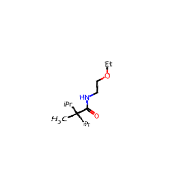 CCOCCNC(=O)C(C)(C(C)C)C(C)C